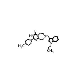 CCCn1cc(CN2CCc3nc(N4CCN(C)CC4)[nH]c(=O)c3CC2)c2ccccc21